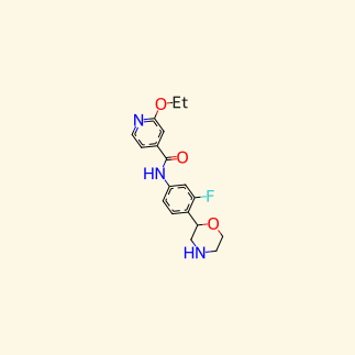 CCOc1cc(C(=O)Nc2ccc(C3CNCCO3)c(F)c2)ccn1